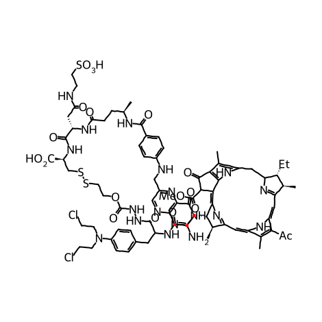 CC[C@H]1C2Cc3[nH]c4c(c3C)C(=O)C(C(=O)OC)/C4=C3N=C(/C=c4\[nH]/c(c(C(C)=O)c4C)=C\C(=N2)[C@@H]1C)[C@@H](C)[C@@H]/3CCC(=O)NC(Cc1ccc(N(CCCl)CCCl)cc1)C(=O)NNC(=O)OCCSSC[C@H](NC(=O)[C@H](CC(=O)NCCS(=O)(=O)O)NC(=O)CC[C@@H](C)NC(=O)c1ccc(NCc2cnc3nc(N)[nH]c(=O)c3n2)cc1)C(=O)O